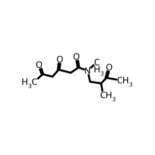 CC(=O)CC(=O)CC(=O)N(C)CC(C)C(C)=O